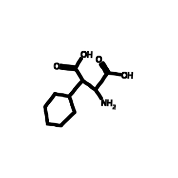 NC(C(=O)O)C(C(=O)O)C1CCCCC1